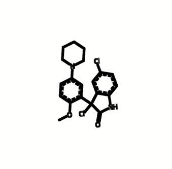 COc1ccc(N2CCCCC2)cc1C1(Cl)C(=O)Nc2ccc(Cl)cc21